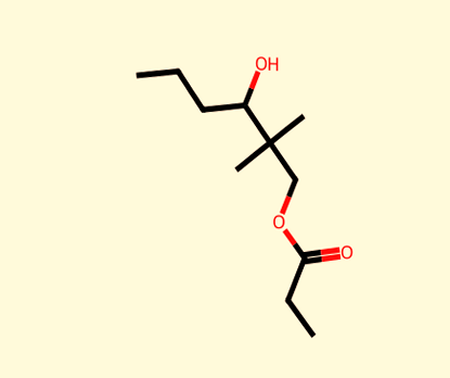 CCCC(O)C(C)(C)COC(=O)CC